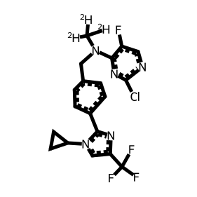 [2H]C([2H])([2H])N(Cc1ccc(-c2nc(C(F)(F)F)cn2C2CC2)cc1)c1nc(Cl)ncc1F